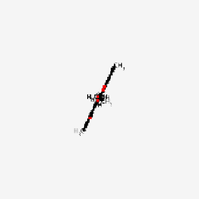 CCCCCCCCCCCCCCCCCCCCCC(=O)NC(CC)(NC(=O)CCCCCCCCCCCCCCCCCCCCC)NC(C)O